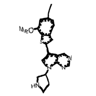 COc1cc(C)cc2cc(-c3cn(C4CCNC4)c4ncncc34)sc12